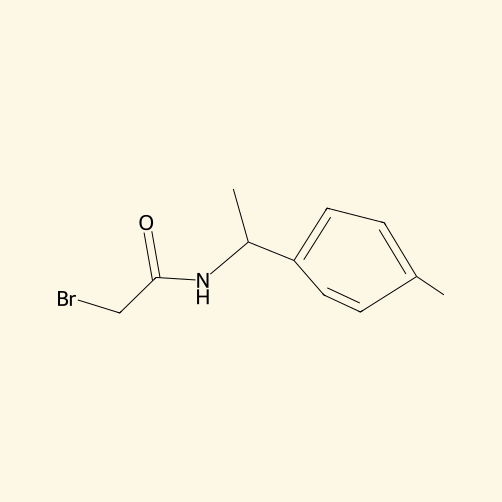 Cc1ccc(C(C)NC(=O)CBr)cc1